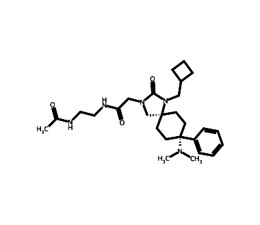 CC(=O)NCCNC(=O)CN1C[C@]2(CC[C@@](c3ccccc3)(N(C)C)CC2)N(CC2CCC2)C1=O